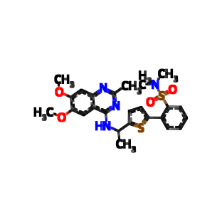 COc1cc2nc(C)nc(NC(C)c3ccc(-c4ccccc4S(=O)(=O)N(C)C)s3)c2cc1OC